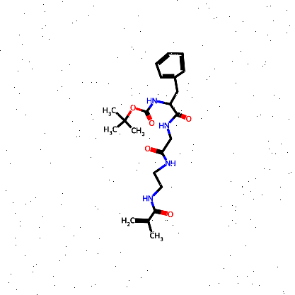 C=C(C)C(=O)NCCNC(=O)CNC(=O)C(Cc1ccccc1)NC(=O)OC(C)(C)C